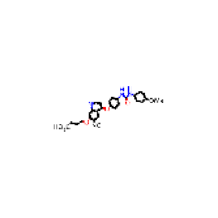 [C-]#[N+]c1cc2c(Oc3ccc(NC(=O)Nc4ccc(OC)cc4)cc3)ccnc2cc1OCCCC(=O)O